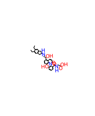 CCc1cc2c(cc1CC)CC(NCC(O)c1ccc(O)c3c1ccc(=O)n3-c1ccccc1C(=O)NCC(=O)O)C2